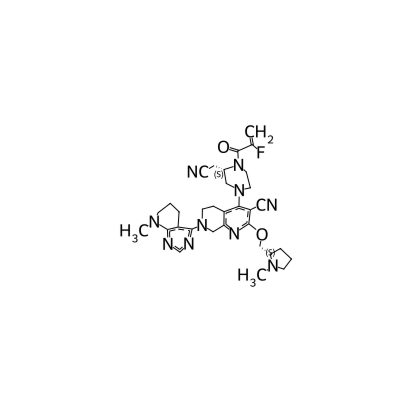 C=C(F)C(=O)N1CCN(c2c(C#N)c(OC[C@@H]3CCCN3C)nc3c2CCN(c2ncnc4c2CCCN4C)C3)C[C@@H]1CC#N